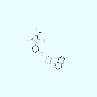 CC1=C(C(N)=O)SC(C)N1c1cccc(C(O)CN2CCN(c3cccc4nc(C)ccc34)CC2)c1